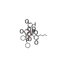 CCCCc1cc(OC)cc(-c2cc(OC)cc(I)c2OP(C2CCCCC2)C2CCCCC2)c1Op1oc2c(I)cc(OC)cc2c2cc(OC)cc(C(C)(C)C)c2o1